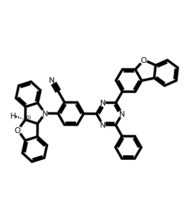 N#Cc1cc(-c2nc(-c3ccccc3)nc(-c3ccc4oc5ccccc5c4c3)n2)ccc1N1c2ccccc2[C@@H]2Oc3ccccc3C21